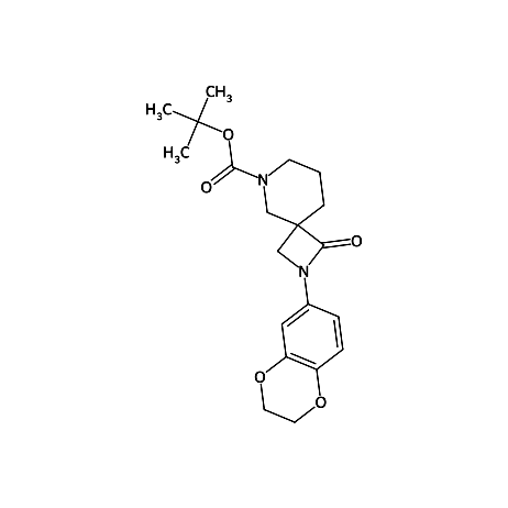 CC(C)(C)OC(=O)N1CCCC2(C1)CN(c1ccc3c(c1)OCCO3)C2=O